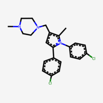 Cc1c(CN2CCN(C)CC2)cc(-c2ccc(Cl)cc2)n1-c1ccc(Cl)cc1